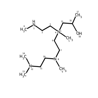 CNCC[N+](C)(CCN(C)CCN(C)C)CC(C)O